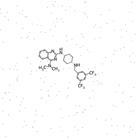 CN(C)c1nc(N[C@H]2CC[C@@H](NCc3cc(C(F)(F)F)cc(C(F)(F)F)c3)CC2)nc2ccccc12